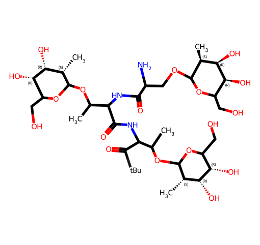 CC(OC1OC(CO)[C@H](O)[C@H](O)[C@@H]1C)C(NC(=O)C(N)COC1OC(CO)[C@H](O)[C@H](O)[C@@H]1C)C(=O)NC(C(=O)C(C)(C)C)C(C)OC1OC(CO)[C@H](O)[C@H](O)[C@@H]1C